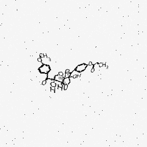 C=CC(=O)Oc1ccc(C(=O)[C@]2(O)CO[C@H]3[C@@H]2OC[C@]3(O)C(=O)c2ccc(OC)cc2)cc1